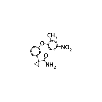 Cc1cc([N+](=O)[O-])ccc1Oc1cccc(C2(C(N)=O)CC2)c1